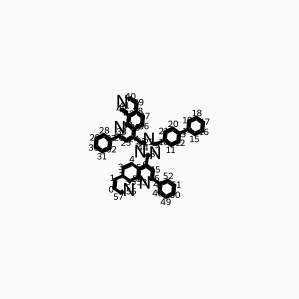 C1=CC2C=Cc3c(-c4nc(-c5ccc(-c6ccccc6)cc5)nc(-c5cc(-c6ccccc6)nc6c5ccc5ccncc56)n4)cc(-c4ccccc4)nc3C2N=C1